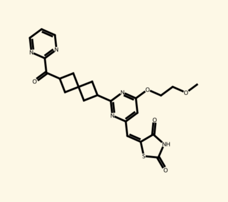 COCCOc1cc(/C=C2/SC(=O)NC2=O)nc(C2CC3(CC(C(=O)c4ncccn4)C3)C2)n1